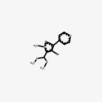 COC(OC)c1c(Br)c(-c2ccncc2)nn1C